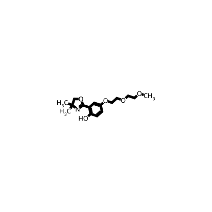 COCCOCCOc1ccc(O)c(C2=NC(C)(C)CO2)c1